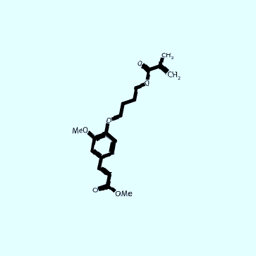 C=C(C)C(=O)OCCCCOc1ccc(/C=C/C(=O)OC)cc1OC